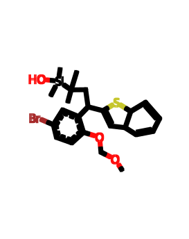 COCOc1ccc(Br)cc1C(CC(C)(C)[Si](C)(C)O)C1=CC2C=CC=CC2S1